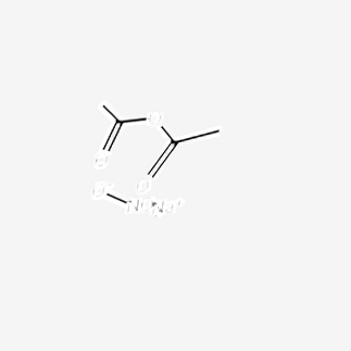 CC(=O)OC(C)=O.O=[N+]([O-])[O-].[Na+]